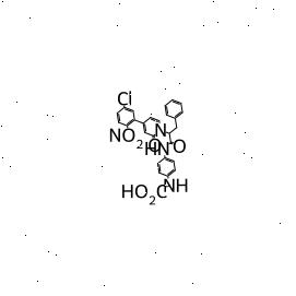 O=C(O)Nc1ccc(NC(=O)C(Cc2ccccc2)n2ccc(-c3cc(Cl)ccc3[N+](=O)[O-])cc2=O)cc1